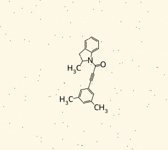 Cc1cc(C)cc(C#CC(=O)N2c3ccccc3CC2C)c1